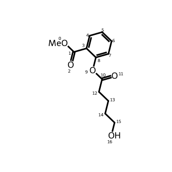 COC(=O)c1ccccc1OC(=O)CCCCO